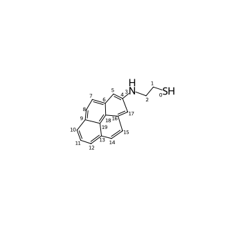 SCCNc1cc2ccc3cccc4ccc(c1)c2c34